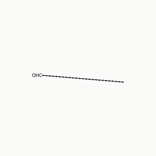 C#CC#CC#CC#CC#CC#CC#CC#CC#CC#CC#CC#CC#CC#CC#CC#CC#CC#CC#CC#CC#CC#CC#CC#CC#CC=O